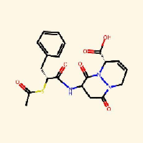 CC(=O)S[C@H](Cc1ccccc1)C(=O)NC1CC(=O)N2CC=C[C@@H](C(=O)O)N2C1=O